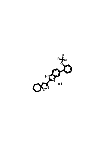 Cl.FC(F)(F)Oc1ccccc1-c1ccc2[nH]c(C3=NOC4(CCCCC4)C3)nc2c1